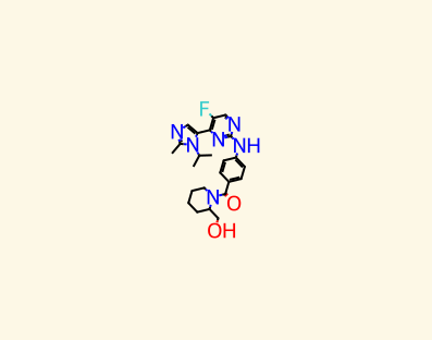 Cc1ncc(-c2nc(Nc3ccc(C(=O)N4CCCCC4CO)cc3)ncc2F)n1C(C)C